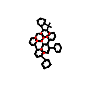 CC1(C)c2ccccc2-c2cc(N(c3ccccc3-c3ccc(-c4ccccc4)cc3)c3cccc(-c4ccccc4)c3-c3ccccc3-c3ccccc3)ccc21